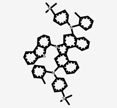 Cc1ccccc1N(c1ccc([Si](C)(C)C)cc1)c1cc2c(c3ccccc13)c1c3ccccc3c(N(c3ccc([Si](C)(C)C)cc3)c3ccccc3C)cc1n2-c1cccc2c1sc1ccccc12